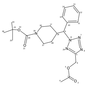 CC(=O)OCc1nnn(C(c2ccccc2)C2CCN(C(=O)OC(C)(C)C)CC2)n1